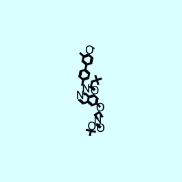 COc1ccc(-c2ccc(CN(C(=O)CC(C)(C)C)c3nccc4cc(OC5CN(C(=O)OC(C)(C)C)C5)ccc34)cc2)cc1C